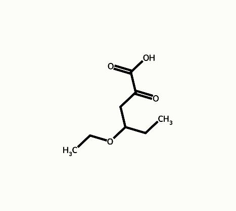 CCOC(CC)CC(=O)C(=O)O